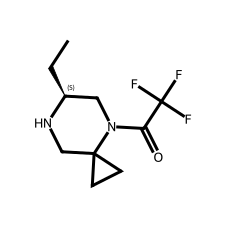 CC[C@H]1CN(C(=O)C(F)(F)F)C2(CC2)CN1